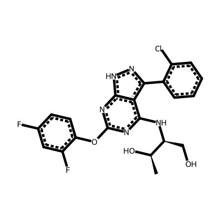 C[C@@H](O)[C@H](CO)Nc1nc(Oc2ccc(F)cc2F)nc2[nH]nc(-c3ccccc3Cl)c12